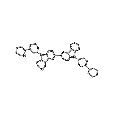 c1ccc(-c2ccc(-n3c4ccccc4c4cc(-c5ccc6c(c5)c5ccccc5n6-c5cccc(-c6ccccn6)c5)ccc43)cc2)cc1